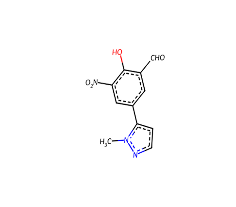 Cn1nccc1-c1cc(C=O)c(O)c([N+](=O)[O-])c1